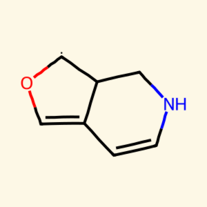 [CH]1OC=C2C=CNCC12